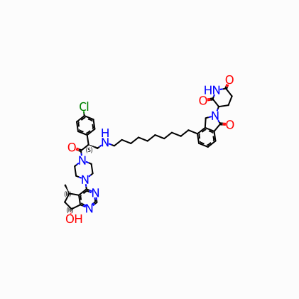 C[C@@H]1C[C@@H](O)c2ncnc(N3CCN(C(=O)[C@H](CNCCCCCCCCCCc4cccc5c4CN(C4CCC(=O)NC4=O)C5=O)c4ccc(Cl)cc4)CC3)c21